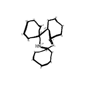 C1CCC2(CC1)N=C1CCCCC1C1(CCCCC1)N2